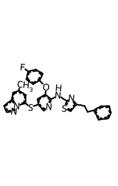 Cc1cc(Sc2cnc(Nc3nc(CCc4ccccc4)cs3)c(Oc3ccc(F)cc3)c2)n2nccc2c1